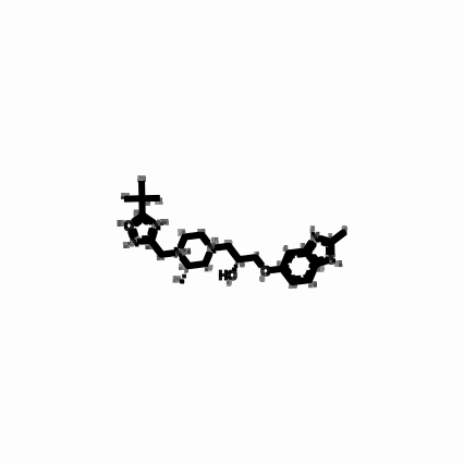 Cc1nc2cc(OC[C@H](O)CN3CCN(Cc4noc(C(C)(C)C)n4)[C@@H](C)C3)ccc2s1